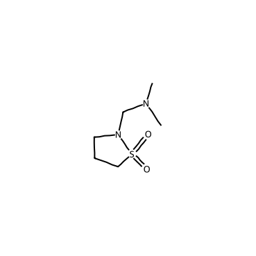 CN(C)CN1CCCS1(=O)=O